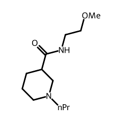 CCCN1CCCC(C(=O)NCCOC)C1